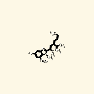 C=C(C)C(=C\C=C/C)/C=C(\C)c1nc2cc(C(C)=O)cc(OC)c2n1C